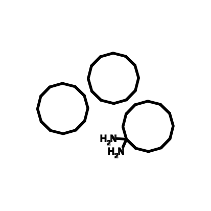 C1CCCCCCCCCCC1.C1CCCCCCCCCCC1.NC1(N)CCCCCCCCCCC1